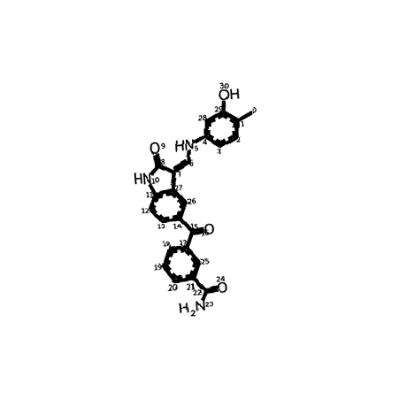 Cc1ccc(NC=C2C(=O)Nc3ccc(C(=O)c4cccc(C(N)=O)c4)cc32)cc1O